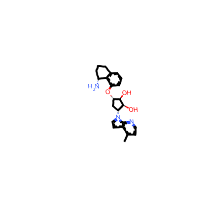 Cc1ccnc2c1ccn2[C@@H]1C[C@H](Oc2cccc3c2[C@H](N)CCC3)[C@@H](O)[C@H]1O